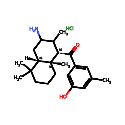 Cc1cc(O)cc(C(=O)[C@H]2C(C)C(N)C[C@H]3C(C)(C)CCC[C@@]23C)c1.Cl